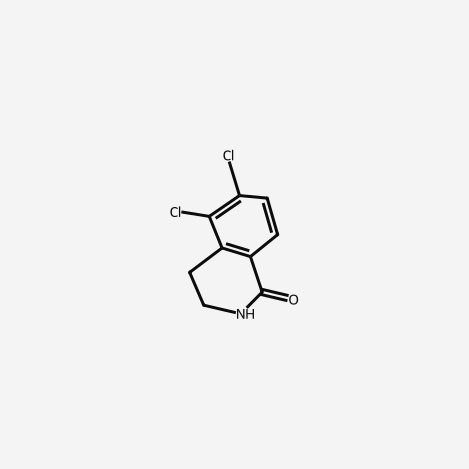 O=C1NCCc2c1ccc(Cl)c2Cl